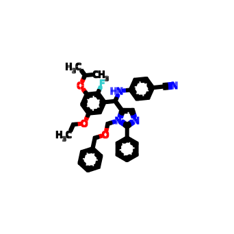 CCOc1cc(OC(C)C)c(F)c(C(Nc2ccc(C#N)cc2)c2cnc(-c3ccccc3)n2COCc2ccccc2)c1